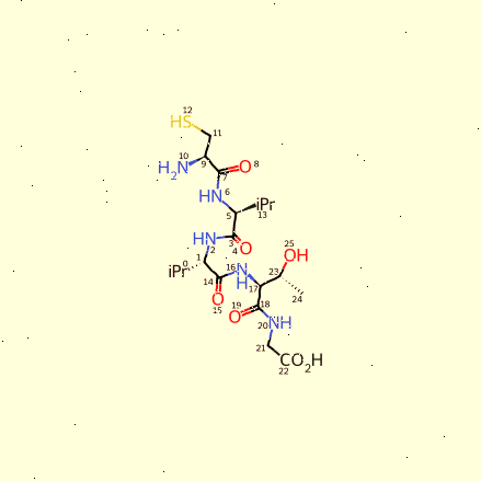 CC(C)[C@H](NC(=O)[C@@H](NC(=O)[C@@H](N)CS)C(C)C)C(=O)N[C@H](C(=O)NCC(=O)O)[C@@H](C)O